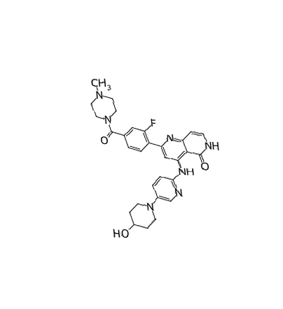 CN1CCN(C(=O)c2ccc(-c3cc(Nc4ccc(N5CCC(O)CC5)cn4)c4c(=O)[nH]ccc4n3)c(F)c2)CC1